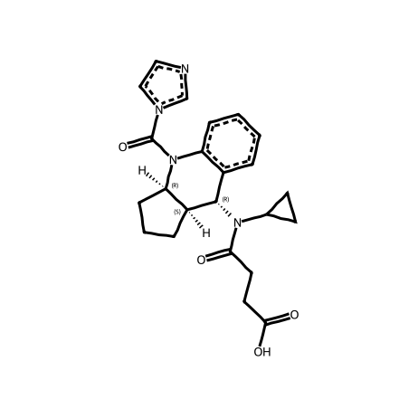 O=C(O)CCC(=O)N(C1CC1)[C@H]1c2ccccc2N(C(=O)n2ccnc2)[C@@H]2CCC[C@@H]21